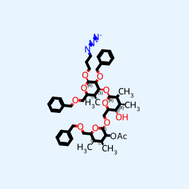 CC(=O)OC1[C@H](OCC2O[C@@H](O[C@@H]3C(OCc4ccccc4)[C@H](OCCCN=[N+]=[N-])OC(COCc4ccccc4)[C@@H]3C)C(C)[C@@H](C)[C@@H]2O)OC(COCc2ccccc2)[C@@H](C)[C@@H]1C